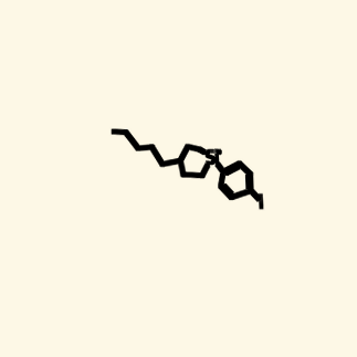 CCCCCC1CC[Si](C)(c2ccc(I)cc2)CC1